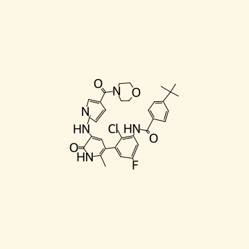 Cc1[nH]c(=O)c(Nc2ccc(C(=O)N3CCOCC3)cn2)cc1-c1cc(F)cc(NC(=O)c2ccc(C(C)(C)C)cc2)c1Cl